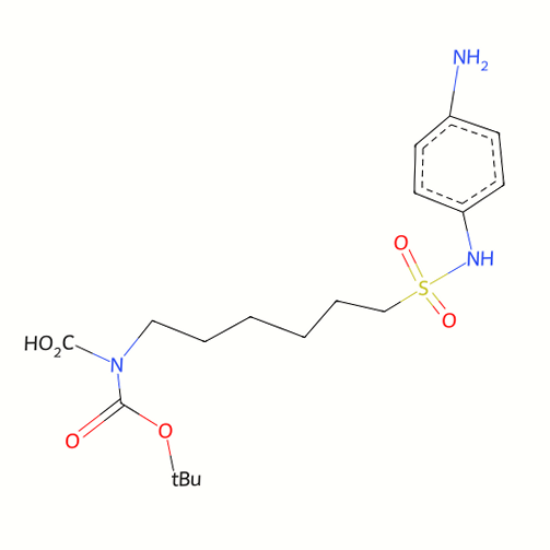 CC(C)(C)OC(=O)N(CCCCCCS(=O)(=O)Nc1ccc(N)cc1)C(=O)O